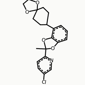 CC1(c2ccc(Cl)cn2)Oc2cccc(C3CCC4(CC3)OCCO4)c2O1